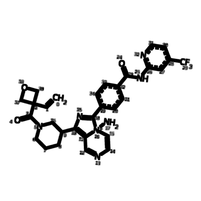 C=CC1(C(=O)N2CCCC(C3=C4C=NC=C[N+]4(N)C(c4ccc(C(=O)Nc5cc(C(F)(F)F)ccn5)cc4)=N3)C2)COC1